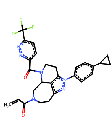 C=CC(=O)N1CCc2nn(-c3ccc(C4CC4)cc3)c3c2C(C1)N(C(=O)c1ccc(C(F)(F)F)nn1)CC3